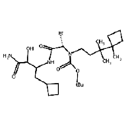 CC[C@@H](C(=O)NC(CC1CCC1)C(O)C(N)=O)N(CCC(C)(C)C1(C)CCC1)C(=O)OC(C)(C)C